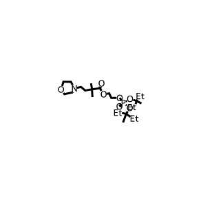 CCC(C)(CC)OP(=O)(OCCOC(=O)C(C)(C)CCN1CCOCC1)OC(C)(CC)CC